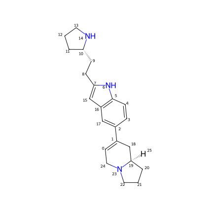 C1=C(c2ccc3[nH]c(CC[C@@H]4CCCN4)cc3c2)C[C@H]2CCCN2C1